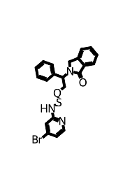 O=C1c2ccccc2CN1C(COSNc1cc(Br)ccn1)c1ccccc1